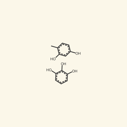 Cc1ccc(O)cc1O.Oc1cccc(O)c1O